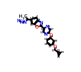 CC(N=[N+]=[N-])c1ccc2nc(-c3cnc(Oc4cccc(OCC5CC5)c4)cn3)oc2c1